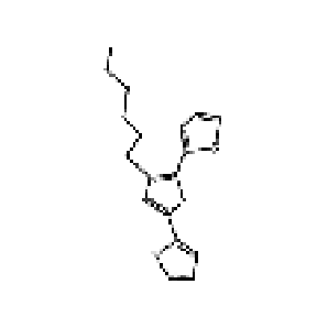 CCCCCCc1cc(-c2cccs2)sc1-c1cccs1